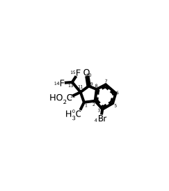 CC1c2c(Br)cccc2C(=O)C1(C(=O)O)C(F)F